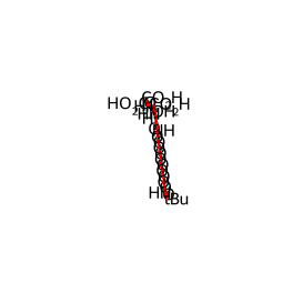 CC(C)(C)CC(=O)NCCOCCOCCOCCOCCOCCOCCOCCOCCOCCOCCNC(=O)CCCCCCCNC(O)CC[C@H](NC(=O)N[C@@H](CCC(=O)O)C(=O)O)C(=O)O